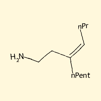 CCC/C=C(\CCN)CCCCC